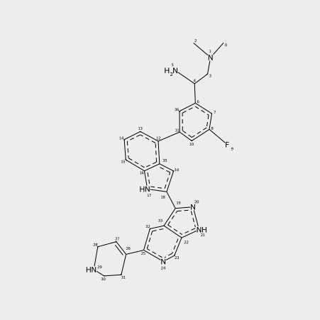 CN(C)CC(N)c1cc(F)cc(-c2cccc3[nH]c(-c4n[nH]c5cnc(C6=CCNCC6)cc45)cc23)c1